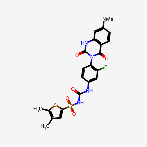 CNc1ccc2c(=O)n(-c3ccc(NC(=O)NS(=O)(=O)c4cc(C)c(C)s4)cc3F)c(=O)[nH]c2c1